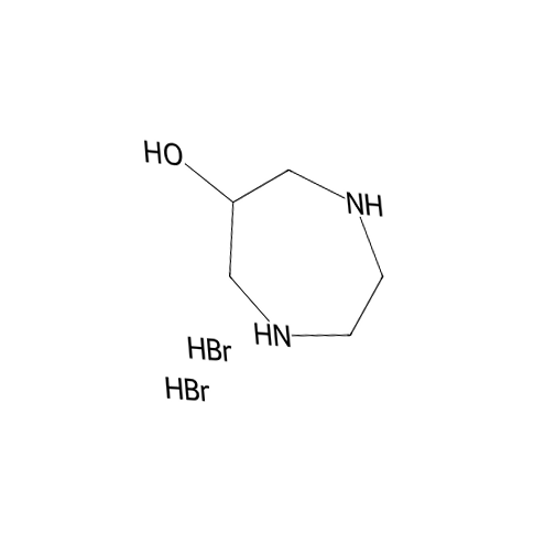 Br.Br.OC1CNCCNC1